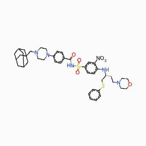 O=C(NS(=O)(=O)c1ccc(N[C@H](CCN2CCOCC2)CSc2ccccc2)c([N+](=O)[O-])c1)c1ccc(N2CCN(CC34CC5CC(CC(C5)C3)C4)CC2)cc1